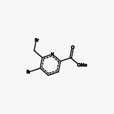 COC(=O)c1ccc(Br)c(CBr)n1